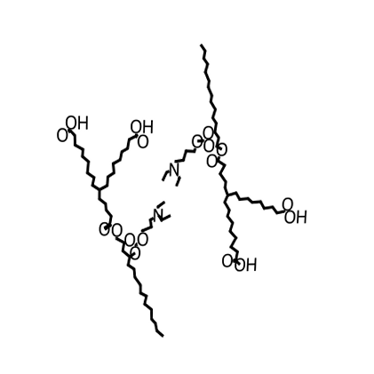 CCCCCCCCCCCCC(CCCOC(=O)CCCCC(CCCCCCCCC(=O)O)CCCCCCCCC(=O)O)OC(=O)OCCCN(CC)CC.CCCCCCCCCCCCC(CCOC(=O)CCCCC(CCCCCCCCC(=O)O)CCCCCCCCC(=O)O)OC(=O)OCCCCN(CC)CC